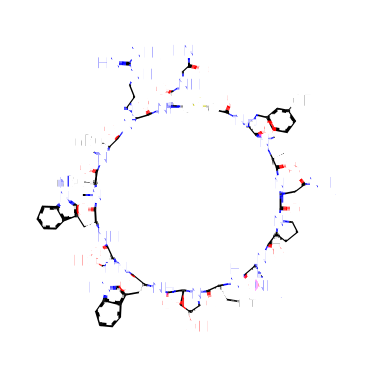 CCCC[C@H]1C(=O)N(C)[C@@H](CCCC)C(=O)N[C@@H](CCCNC(=N)N)C(=O)N[C@H](C(=O)NCC(N)=O)CSCC(=O)N[C@@H](Cc2cccc(C(F)(F)F)c2)C(=O)N(C)[C@@H](C)C(=O)NC(CC(N)=O)C(=O)N2CCC[C@H]2C(=O)N[C@@H](CN)C(=O)N[C@@H](CC(C)C)C(=O)N2C[C@H](O)CC2C(O)N[C@@H](Cc2c[nH]c3ccccc23)C(=O)N[C@@H](CO)C(=O)N[C@@H](Cc2c[nH]c3ccccc23)C(=O)N1C